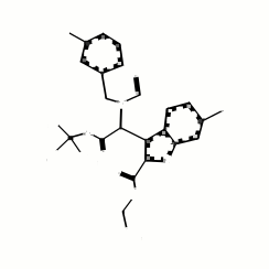 CCOC(=O)c1[nH]c2cc(Cl)ccc2c1C(C(=O)NC(C)(C)C)N(C=O)Cc1cccc(F)c1